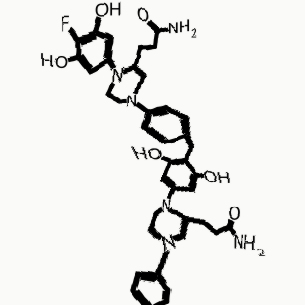 NC(=O)CCC1CN(c2ccc(Cc3c(O)cc(N4CCN(c5ccccc5)CC4CCC(N)=O)cc3O)cc2)CCN1c1cc(O)c(F)c(O)c1